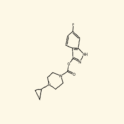 O=C(Oc1n[nH]c2cc(F)ccc12)N1CCN(C2CC2)CC1